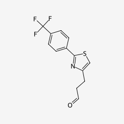 O=CCCc1csc(-c2ccc(C(F)(F)F)cc2)n1